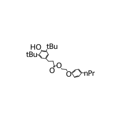 CCCc1ccc(OCCOC(=O)CCc2cc(C(C)(C)C)c(O)c(C(C)(C)C)c2)cc1